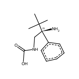 CC(C)(C)[C@@](N)(CNC(=O)O)c1ccccc1